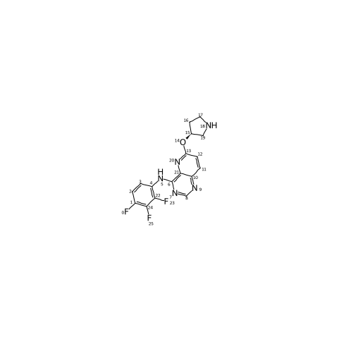 Fc1ccc(Nc2ncnc3ccc(O[C@H]4CCNC4)nc23)c(F)c1F